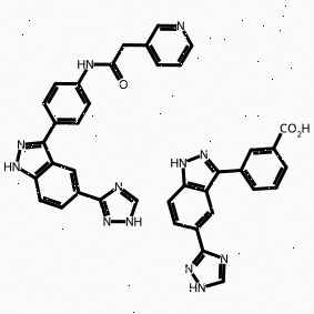 O=C(Cc1cccnc1)Nc1ccc(-c2n[nH]c3ccc(-c4nc[nH]n4)cc23)cc1.O=C(O)c1cccc(-c2n[nH]c3ccc(-c4nc[nH]n4)cc23)c1